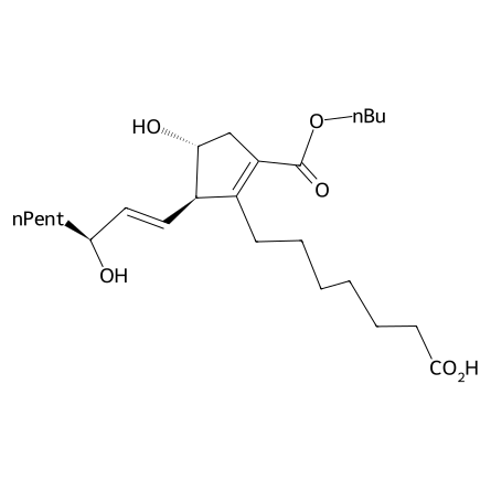 CCCCC[C@H](O)C=C[C@@H]1C(CCCCCCC(=O)O)=C(C(=O)OCCCC)C[C@H]1O